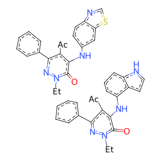 CCn1nc(-c2ccccc2)c(C(C)=O)c(Nc2ccc3ncsc3c2)c1=O.CCn1nc(-c2ccccc2)c(C(C)=O)c(Nc2cccc3[nH]ccc23)c1=O